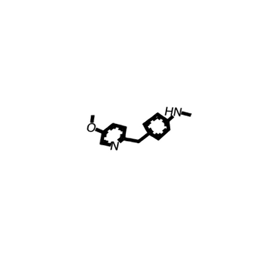 CNc1ccc(Cc2ccc(OC)cn2)cc1